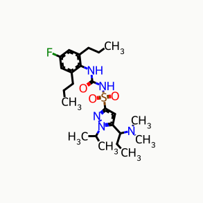 CCCc1cc(F)cc(CCC)c1NC(=O)NS(=O)(=O)c1cc(C(CC)N(C)C)n(C(C)C)n1